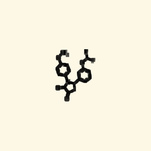 O=C1CC(c2cccc(OC(F)F)c2)N(c2ccc(OC(F)(F)F)cc2)C1=O